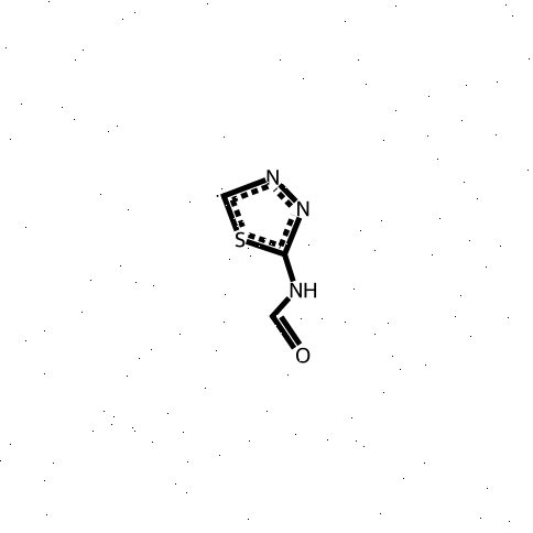 O=CNc1nn[c]s1